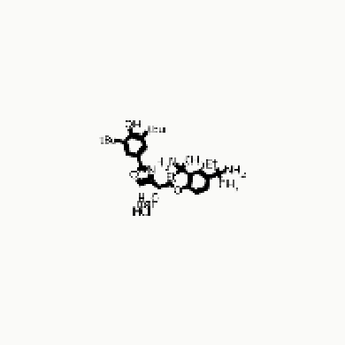 CCC(C)(N)c1ccc(OCCc2coc(-c3cc(C(C)(C)C)c(O)c(C(C)(C)C)c3)n2)c(C(C)(N)CC)c1.Cl.Cl.O